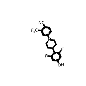 N#Cc1ccc(N2CCC(c3c(F)cc(O)cc3F)CC2)cc1C(F)(F)F